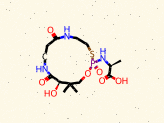 C[C@H](NP1(=O)OCC(C)(C)[C@@H](O)C(=O)NCCC(=O)NCCS1)C(=O)O